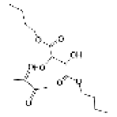 CC(=O)C(C)=O.CCCCOC(=O)C(O)C(O)C(=O)OCCCC